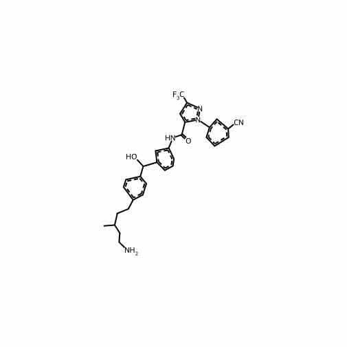 CC(CCN)CCc1ccc(C(O)c2cccc(NC(=O)c3cc(C(F)(F)F)nn3-c3cccc(C#N)c3)c2)cc1